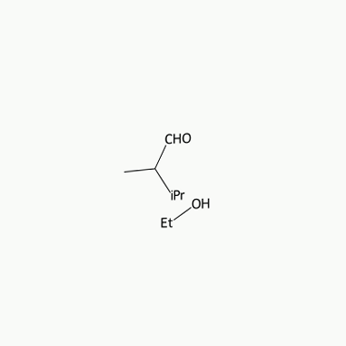 CC(C)C(C)C=O.CCO